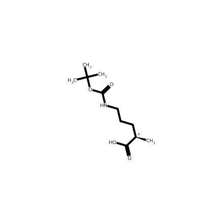 C[C@H](CCCNC(=O)OC(C)(C)C)C(=O)O